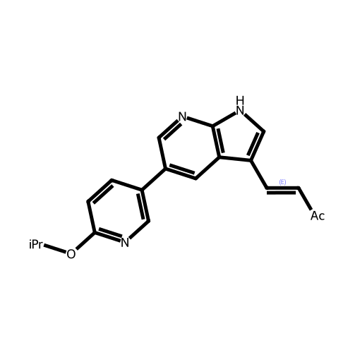 CC(=O)/C=C/c1c[nH]c2ncc(-c3ccc(OC(C)C)nc3)cc12